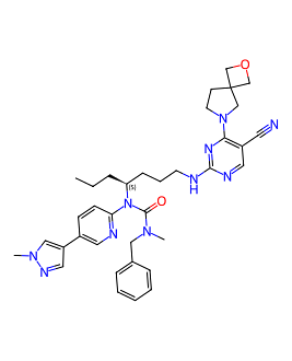 CCC[C@@H](CCCNc1ncc(C#N)c(N2CCC3(COC3)C2)n1)N(C(=O)N(C)Cc1ccccc1)c1ccc(-c2cnn(C)c2)cn1